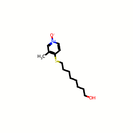 Cc1c[n+]([O-])ccc1SCCCCCCCCO